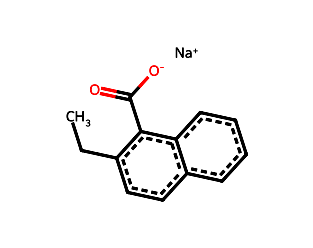 CCc1ccc2ccccc2c1C(=O)[O-].[Na+]